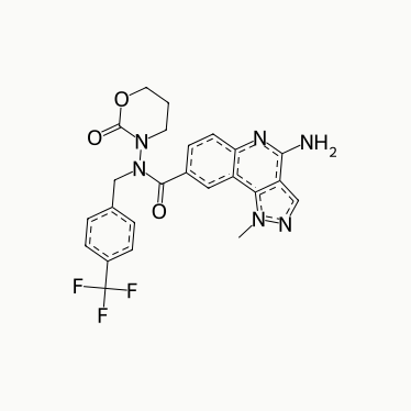 Cn1ncc2c(N)nc3ccc(C(=O)N(Cc4ccc(C(F)(F)F)cc4)N4CCCOC4=O)cc3c21